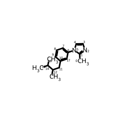 Cc1nccn1-c1cccc(CC(C)C(C)C)c1